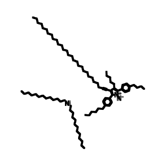 CCCCCCCCCCCCCCCCCCCCCCCCCCCC#CC1=C(c2ccc(CCCCCC)cc2)[N+](=[N-])C(c2ccc(CCCC)cc2)=C1CCCCC.CCCCCCCCCCCC[CH2][Ni][CH2]CCCCCCCCCCCC